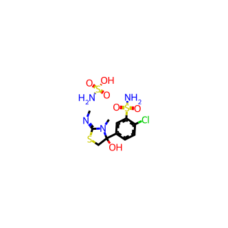 CN=C1SCC(O)(c2ccc(Cl)c(S(N)(=O)=O)c2)N1C.NS(=O)(=O)O